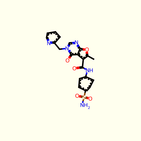 Cc1oc2ncn(Cc3ccccn3)c(=O)c2c1C(=O)Nc1ccc(S(N)(=O)=O)cc1